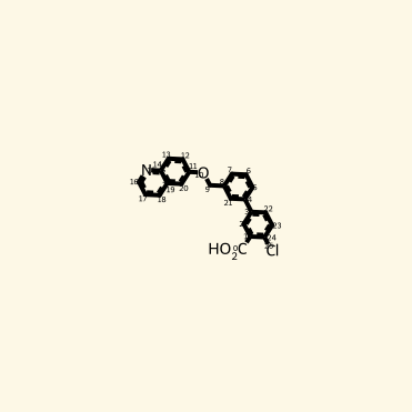 O=C(O)c1cc(-c2cccc(COc3ccc4ncccc4c3)c2)ccc1Cl